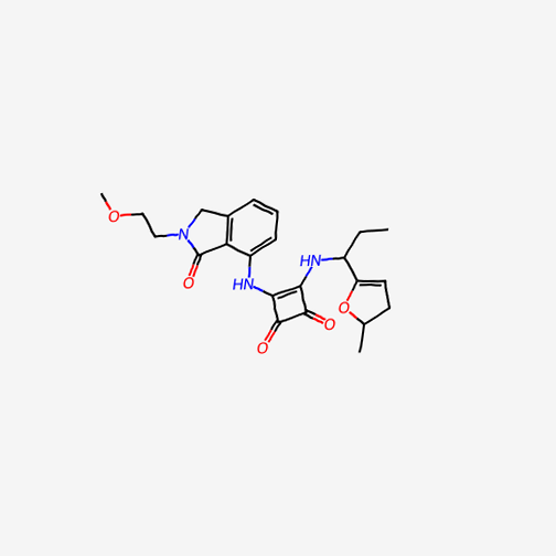 CCC(Nc1c(Nc2cccc3c2C(=O)N(CCOC)C3)c(=O)c1=O)C1=CCC(C)O1